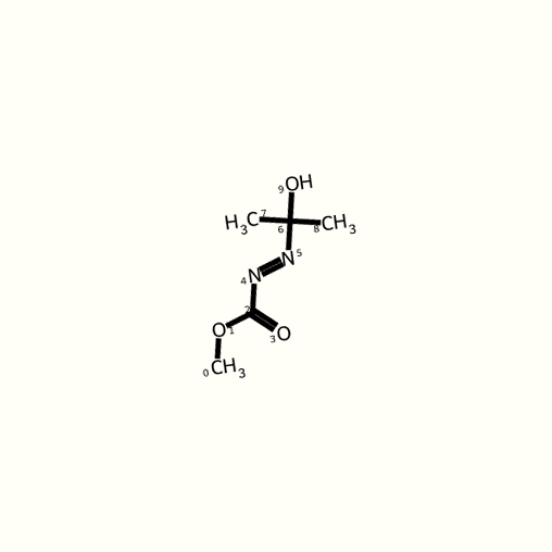 COC(=O)N=NC(C)(C)O